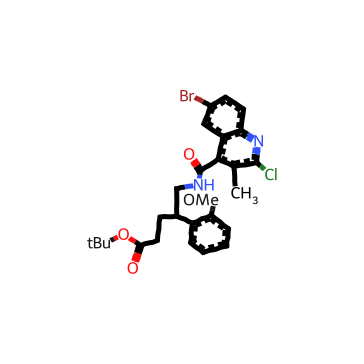 COc1ccccc1C(CCC(=O)OC(C)(C)C)CNC(=O)c1c(C)c(Cl)nc2ccc(Br)cc12